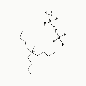 CCCC[P+](C)(CCCC)CCCC.F[B-](F)(F)F.F[B-](F)(F)F.[NH4+]